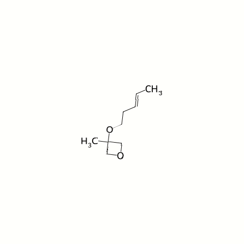 CC=CCCOC1(C)COC1